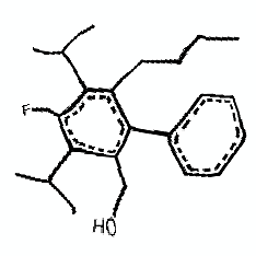 CCCCc1c(-c2ccccc2)c(CO)c(C(C)C)c(F)c1C(C)C